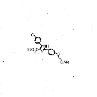 CCOC(=O)c1nc(-c2ccc(OCCOC)cc2)[nH]c1-c1ccc(Cl)cc1